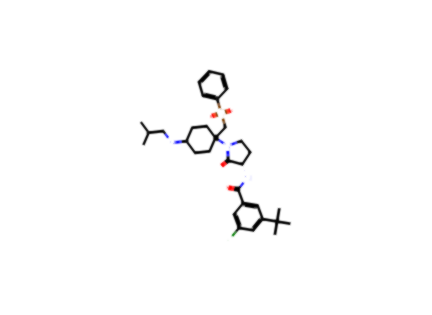 CC(C)CNC1CCC(CS(=O)(=O)c2ccccc2)(N2CC[C@H](NC(=O)c3cc(Br)cc(C(C)(C)C)c3)C2=O)CC1